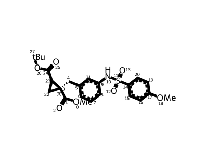 COC(=O)[C@@]1(Cc2cccc(NS(=O)(=O)c3ccc(OC)cc3)c2)CC1C(=O)OC(C)(C)C